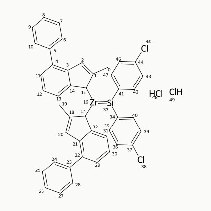 CC1=Cc2c(-c3ccccc3)cccc2[CH]1[Zr]([CH]1C(C)=Cc2c(-c3ccccc3)cccc21)=[Si](c1ccc(Cl)cc1)c1ccc(Cl)cc1.Cl.Cl